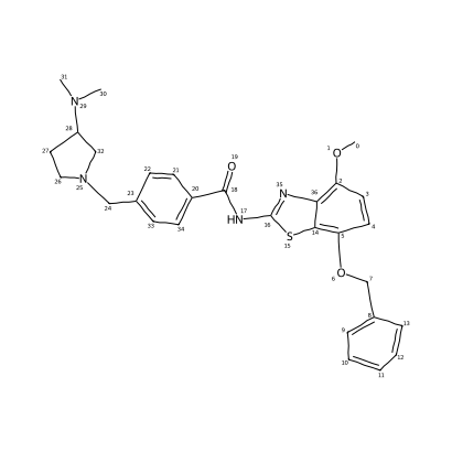 COc1ccc(OCc2ccccc2)c2sc(NC(=O)c3ccc(CN4CCC(N(C)C)C4)cc3)nc12